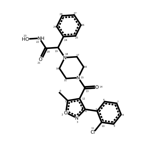 Cc1onc(-c2ccccc2Cl)c1C(=O)N1CCN(C(C(=O)NO)c2ccccc2)CC1